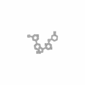 Clc1cncc(-c2ccc3[nH]cc(-c4cncc(OC5CCCNC5)n4)c3c2)c1